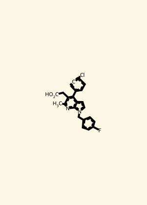 Cc1nc2c(ccn2Cc2ccc(F)cc2)c(-c2ccc(Cl)cc2)c1CC(=O)O